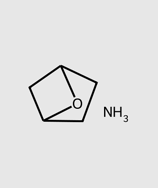 C1CC2CC1O2.N